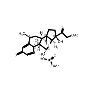 CC(=O)OCC(=O)[C@@]1(O)CC[C@H]2[C@@H]3C[C@H](C)C4=CC(=O)C=C[C@]4(C)[C@H]3[C@@H](O)C[C@@]21C.CO[PH](=O)O